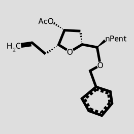 C=CC[C@H]1O[C@@H]([C@@H](CCCCC)OCc2ccccc2)C[C@H]1OC(C)=O